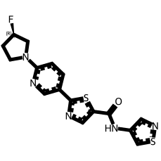 O=C(Nc1cnsc1)c1cnc(-c2ccc(N3CC[C@@H](F)C3)nc2)s1